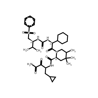 CC(C)[C@@H](CS(=O)(=O)c1ccccc1)NC(=O)N[C@H](C(=O)N1CC(C)C(C)(C)C[C@H]1C(=O)NC(CC1CC1)C(=O)C(N)=O)C1CCCCC1